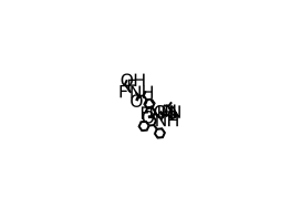 CC(C(=O)NCC(F)(F)CO)c1ccc(NC(=O)C(NC(=O)c2ccnn2C(C)C)C(C2CCCCC2)C2CCCCC2)c(F)c1